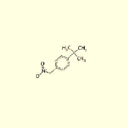 CC(C)(C)c1ccc(C[N+](=O)[O-])cc1